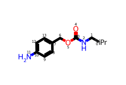 CC(C)CNC(=O)OCc1ccc(N)cc1